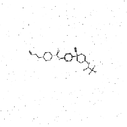 C#CC1(c2ccc(OC(=O)[C@H]3CC[C@H](CCC=C)CC3)cc2)CCC(OC(F)C(F)(F)F)CC1